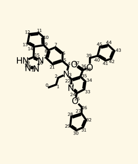 CCCN(Cc1ccc(-c2ccccc2-c2nnn[nH]2)cc1)c1nc(OCc2ccccc2)ccc1C(=O)OCc1ccccc1